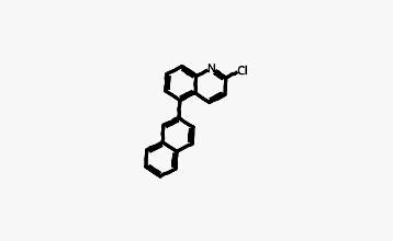 Clc1ccc2c(-c3ccc4ccccc4c3)cccc2n1